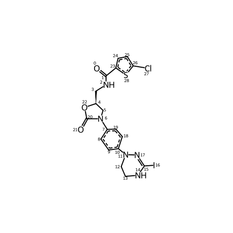 O=C(NC[C@H]1CN(c2ccc(N3CCNC(I)=N3)cc2)C(=O)O1)c1ccc(Cl)s1